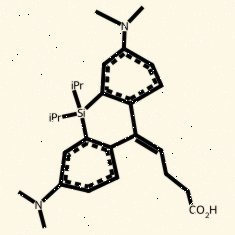 CC(C)[Si]1(C(C)C)c2cc(N(C)C)ccc2C(=CCCC(=O)O)c2ccc(N(C)C)cc21